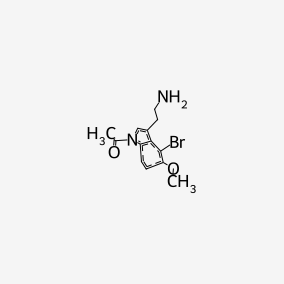 COc1ccc2c(c(CCN)cn2C(C)=O)c1Br